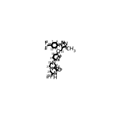 Cc1nnn(-c2ccc(C(F)F)cc2)c1COc1ccc(N2CCN3CC(C(C)C)NC(=O)[C@@H]3C2)nn1